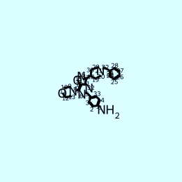 Nc1ccc(-c2nc(N3CCOCC3)c3onc(C4CCN(Cc5ccccc5)CC4)c3n2)cc1